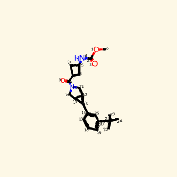 COC(=O)NC1CC(C(=O)N2CC3C(C2)C3c2cccc(C(C)(C)C)c2)C1